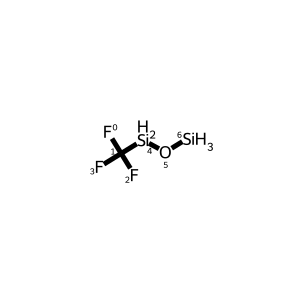 FC(F)(F)[SiH2]O[SiH3]